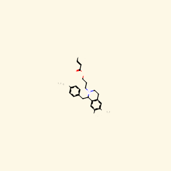 COc1ccc(CC2c3cc(OC)c(OC)cc3CCN2CCCOC(=O)C=CC(=O)O)cc1